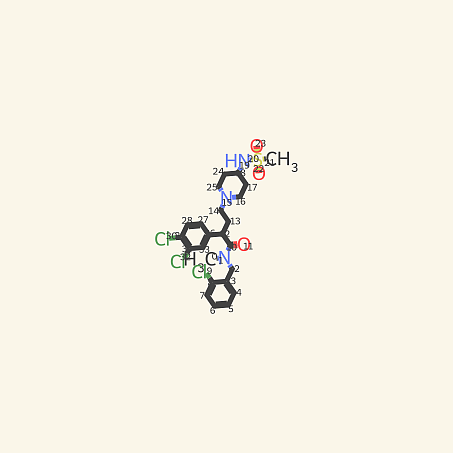 CN(Cc1ccccc1Cl)C(=O)C(CCN1CCC(NS(C)(=O)=O)CC1)c1ccc(Cl)c(Cl)c1